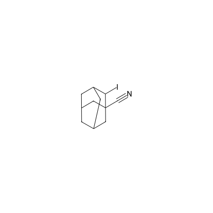 N#CC12CC3CC(CC(C3)C1I)C2